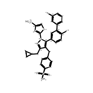 NS(=O)(=O)c1ccc(Cc2c(CC3CC3)nn(-c3nc(C(=O)O)cs3)c2-c2ccc(F)c(-c3cccc(F)c3)c2)cc1